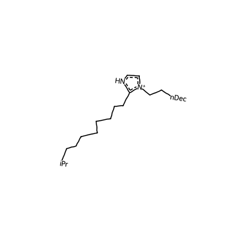 CCCCCCCCCCCC[n+]1cc[nH]c1CCCCCCCCC(C)C